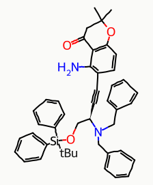 CC1(C)CC(=O)c2c(ccc(C#C[C@H](CO[Si](c3ccccc3)(c3ccccc3)C(C)(C)C)N(Cc3ccccc3)Cc3ccccc3)c2N)O1